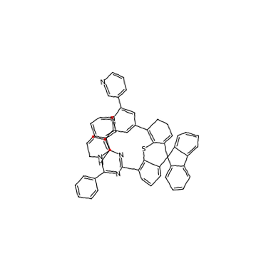 C1=CC(c2cc(C3=C4Sc5c(C6=NC(c7ccccc7)CC(c7ccccc7)=N6)cccc5C5(C4=CCC3)c3ccccc3-c3ccccc35)cc(-c3cccnc3)n2)=CNC1